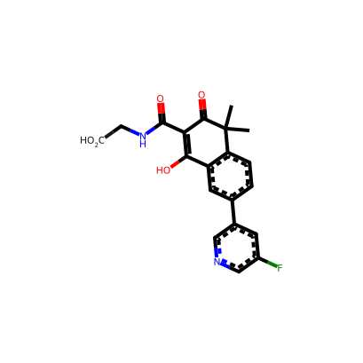 CC1(C)C(=O)C(C(=O)NCC(=O)O)=C(O)c2cc(-c3cncc(F)c3)ccc21